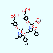 CCc1cnc(OC(C)CCOc2ccc(CCC(=O)O)c(C)c2)c(C(=O)c2ccccc2)c1.CCc1cnc(OC(C)CCOc2ccc(CCC(=O)O)c(C)c2)c(C(=O)c2ccccc2)c1.O=C([O-])[O-].[Cs+].[Cs+]